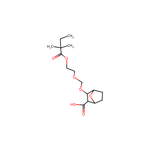 CCC(C)(C)C(=O)OCCOCOC1C2CCC(O2)C1C(=O)O